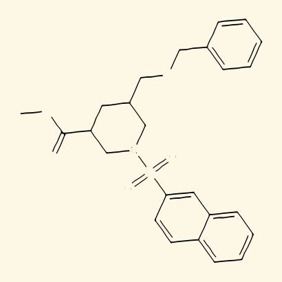 COC(=O)C1CC(COCc2ccccc2)CN(S(=O)(=O)c2ccc3ccccc3c2)C1